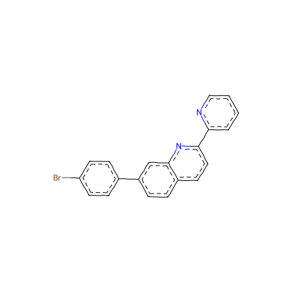 Brc1ccc(-c2ccc3ccc(-c4ccccn4)nc3c2)cc1